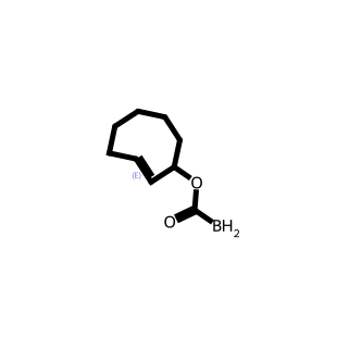 BC(=O)OC1/C=C/CCCCC1